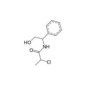 CC(Cl)C(=O)NC(CO)c1ccccc1